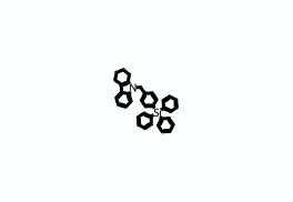 c1ccc([Si](c2ccccc2)(c2ccccc2)c2ccc(Cn3c4c(c5ccccc53)CCCC4)cc2)cc1